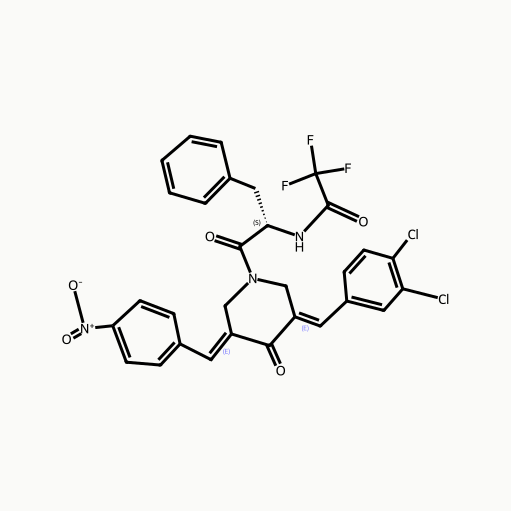 O=C1/C(=C/c2ccc([N+](=O)[O-])cc2)CN(C(=O)[C@H](Cc2ccccc2)NC(=O)C(F)(F)F)C/C1=C\c1ccc(Cl)c(Cl)c1